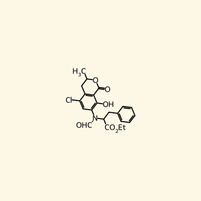 CCOC(=O)C(Cc1ccccc1)N(C=O)c1cc(Cl)c2c(c1O)C(=O)OC(C)C2